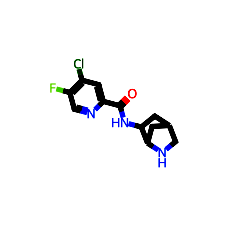 O=C(NC1CC2CNC1C2)c1cc(Cl)c(F)cn1